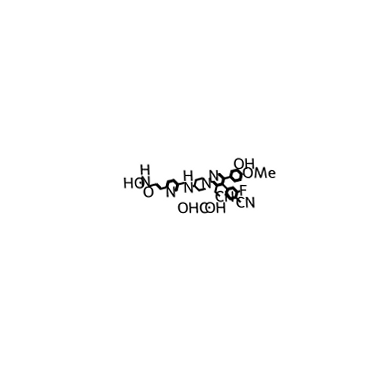 COc1ccc(-c2cnc(N3CCC(NCc4ccc(/C=C/C(=O)NO)nc4)CC3)c(CC#N)c2-c2ccc(C#N)c(F)c2)cc1O.O=CO